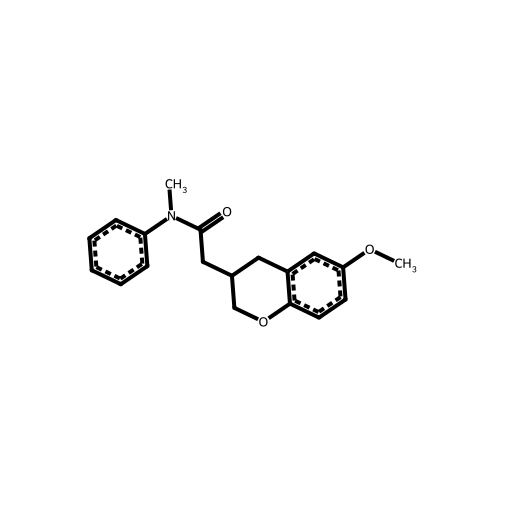 COc1ccc2c(c1)CC(CC(=O)N(C)c1ccccc1)CO2